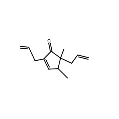 C=CCC1=CC(C)C(C)(CC=C)C1=O